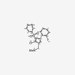 CNCc1cc(-c2ccccc2F)n(S(=O)(=O)c2cccnc2)c1Cl